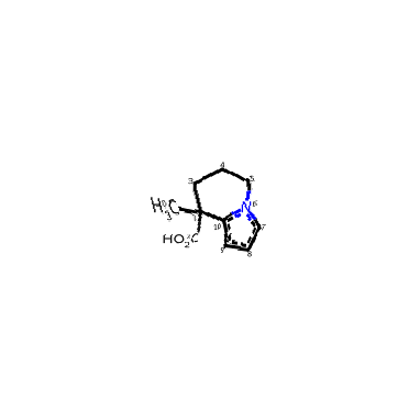 CC1(C(=O)O)CCCn2cccc21